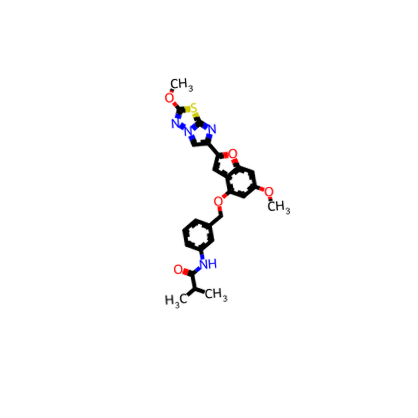 COc1cc(OCc2cccc(NC(=O)C(C)C)c2)c2cc(-c3cn4nc(OC)sc4n3)oc2c1